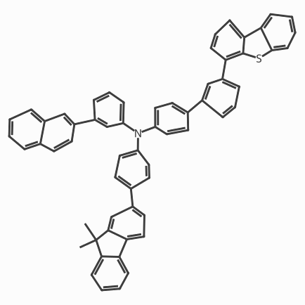 CC1(C)c2ccccc2-c2ccc(-c3ccc(N(c4ccc(-c5cccc(-c6cccc7c6sc6ccccc67)c5)cc4)c4cccc(-c5ccc6ccccc6c5)c4)cc3)cc21